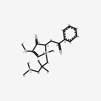 COC1=C[N+](C)(CC(C)(C)CN(C)C)C(CC(=O)c2ccccc2)C1=O